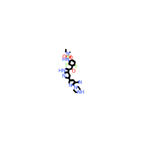 CCN(C)S(=O)(=O)Nc1ccc(F)c(C(=O)c2c[nH]c3ncc(-c4cnc(N5CCNCC5)c(C#N)c4)cc23)c1F